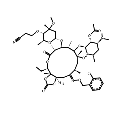 CC[C@H]1OC(=O)[C@H](C)[C@@H](O[C@H]2C[C@@](C)(OC)[C@@H](OCCC#N)[C@H](C)O2)[C@H](C)[C@@H](O[C@@H]2O[C@H](C)C[C@H](N(C)C)[C@H]2OC(C)=O)[C@](C)(OC)C[C@@H](C)/C(=N\OCc2ccccc2Cl)[C@H](C)[C@H]2OC(=O)O[C@@]21C